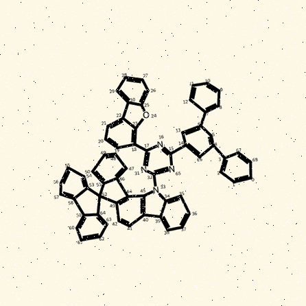 c1ccc(-c2cc(-c3ccccc3)cc(-c3nc(-c4cccc5c4oc4ccccc45)nc(-n4c5ccccc5c5ccc6c(c54)-c4ccccc4C64c5ccccc5-c5ccccc54)n3)c2)cc1